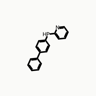 c1ccc(-c2ccc(Pc3ccccn3)cc2)cc1